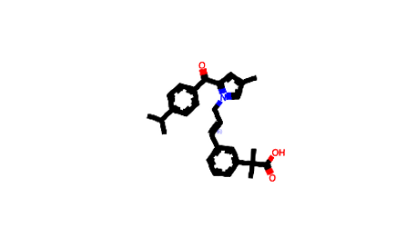 Cc1cc(C(=O)c2ccc(C(C)C)cc2)n(C/C=C/c2cccc(C(C)(C)C(=O)O)c2)c1